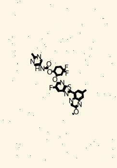 COc1cnc2c(-c3nc4cc(F)c(OC5CC(F)(F)CCC5OC(=O)Nc5cnc(C)nc5)nc4s3)cc(C)cc2n1